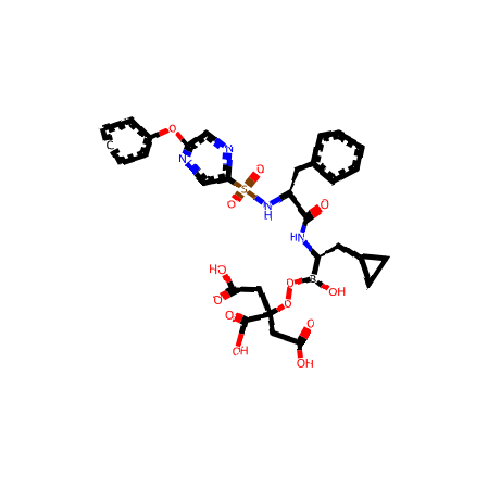 O=C(O)CC(CC(=O)O)(OOB(O)[C@H](CC1CC1)NC(=O)[C@H](Cc1ccccc1)NS(=O)(=O)c1cnc(Oc2ccccc2)cn1)C(=O)O